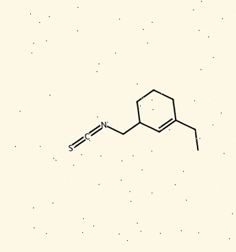 CCC1=CC(CN=C=S)CCC1